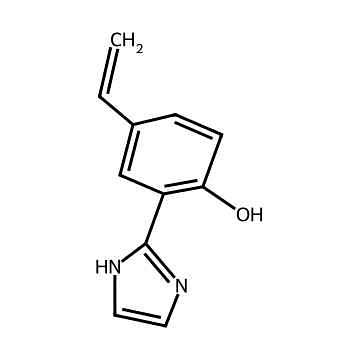 C=Cc1ccc(O)c(-c2ncc[nH]2)c1